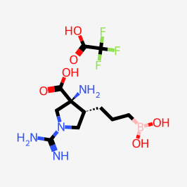 N=C(N)N1C[C@@H](CCCB(O)O)[C@@](N)(C(=O)O)C1.O=C(O)C(F)(F)F